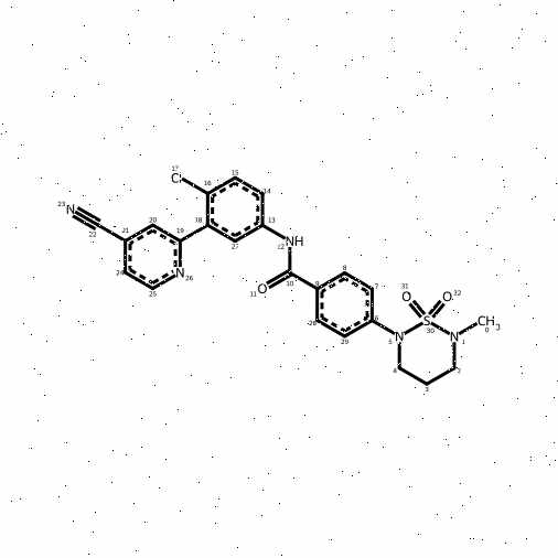 CN1CCCN(c2ccc(C(=O)Nc3ccc(Cl)c(-c4cc(C#N)ccn4)c3)cc2)S1(=O)=O